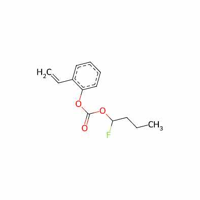 C=Cc1ccccc1OC(=O)OC(F)CCC